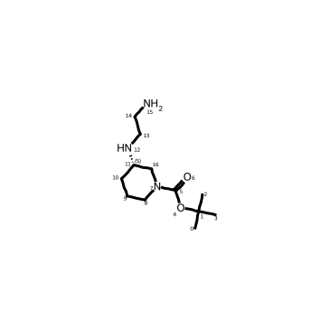 CC(C)(C)OC(=O)N1CCC[C@H](NCCN)C1